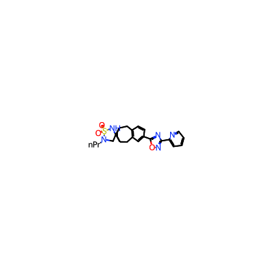 CCCN1CC2(NS1(=O)=O)C1CCC2Cc2cc(-c3nc(-c4ccccn4)no3)ccc2C1